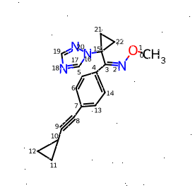 CO/N=C(/c1ccc(C#CC2CC2)cc1)C1(n2cncn2)CC1